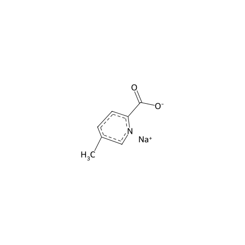 Cc1ccc(C(=O)[O-])nc1.[Na+]